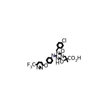 CC(C)(Cn1c(=O)[nH]/c(=N\c2ccc(Oc3ccc(C(F)(F)F)nn3)cc2)n(Cc2ccc(Cl)cc2)c1=O)C(=O)O